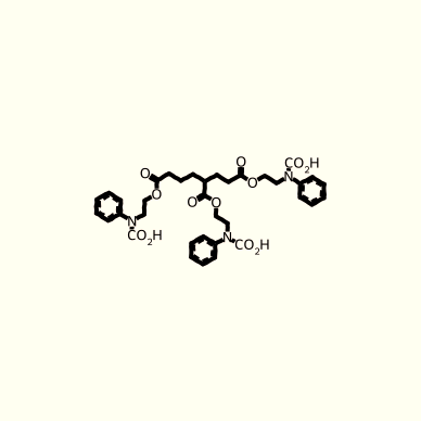 O=C(CCCC(CCC(=O)OCCN(C(=O)O)c1ccccc1)C(=O)OCCN(C(=O)O)c1ccccc1)OCCN(C(=O)O)c1ccccc1